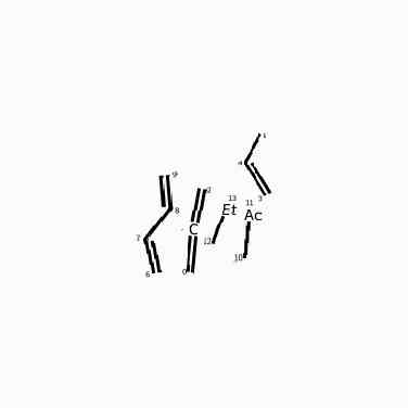 C=C=C.C=CC.C=CC=C.CC(C)=O.CCC